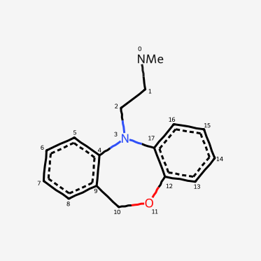 CNCCN1c2ccccc2COc2ccccc21